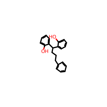 Oc1ccccc1C(CCCc1ccccc1)c1ccccc1O